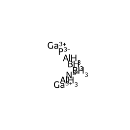 B.B.[AlH3].[AlH3].[Ga+3].[Ga+3].[N-3].[P-3]